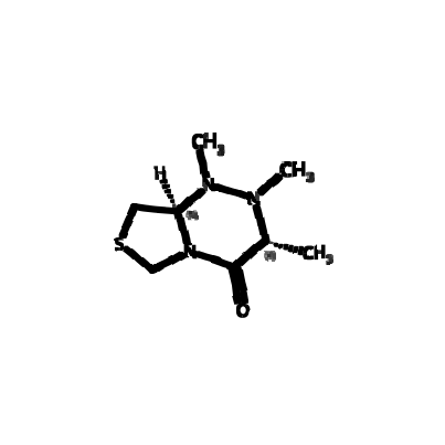 C[C@@H]1C(=O)N2CSC[C@H]2N(C)N1C